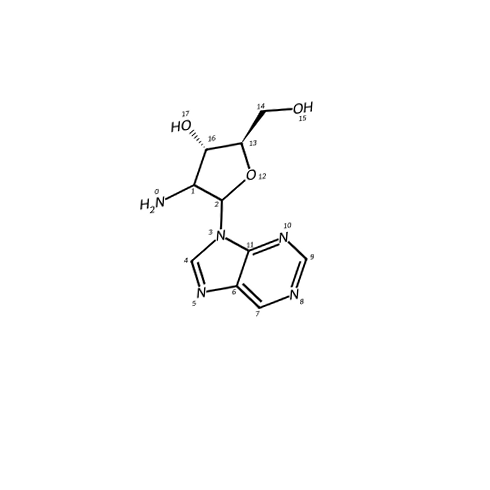 NC1C(n2cnc3cncnc32)O[C@H](CO)[C@H]1O